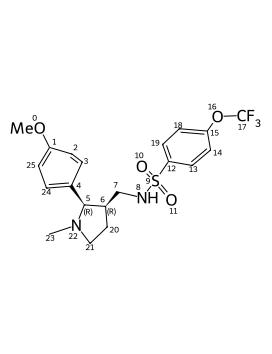 COc1ccc([C@H]2[C@@H](CNS(=O)(=O)c3ccc(OC(F)(F)F)cc3)CCN2C)cc1